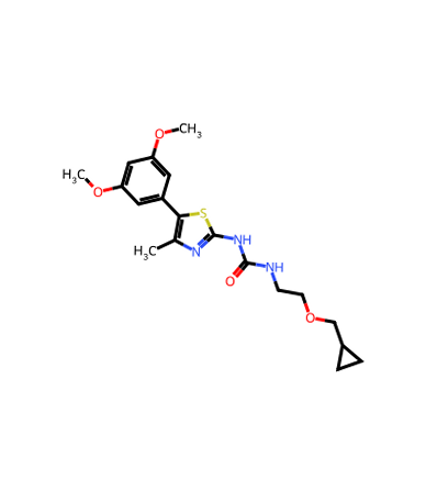 COc1cc(OC)cc(-c2sc(NC(=O)NCCOCC3CC3)nc2C)c1